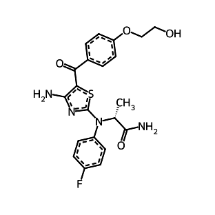 C[C@H](C(N)=O)N(c1ccc(F)cc1)c1nc(N)c(C(=O)c2ccc(OCCO)cc2)s1